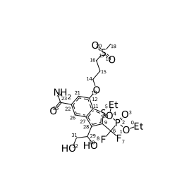 CCOP(=O)(OCC)C(F)(F)c1sc2c(OCCCS(C)(=O)=O)cc(C(N)=O)cc2c1C(O)CO